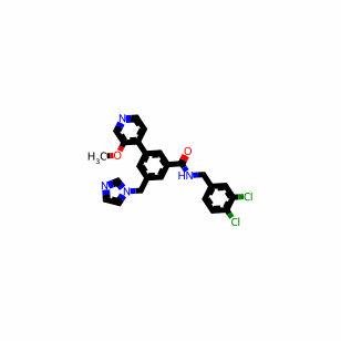 COc1cnccc1-c1cc(Cn2ccnc2)cc(C(=O)NCc2ccc(Cl)c(Cl)c2)c1